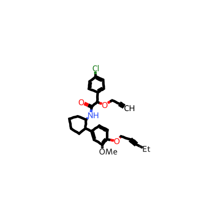 C#CCOC(C(=O)NC1CCCCC1c1ccc(OCC#CCC)c(OC)c1)c1ccc(Cl)cc1